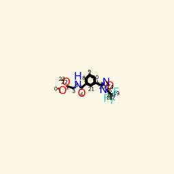 COC(CNC(=O)c1cccc(-c2noc(C(F)(F)F)n2)c1)OC